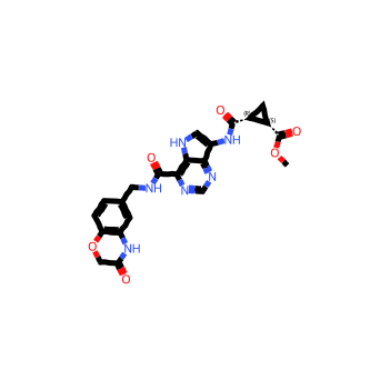 COC(=O)[C@H]1C[C@H]1C(=O)Nc1c[nH]c2c(C(=O)NCc3ccc4c(c3)NC(=O)CO4)ncnc12